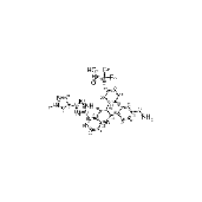 Cn1cc(-c2n[nH]c(-c3nccc4nc(-c5ccc(CN)cc5)c(-c5ccccc5)cc34)n2)cn1.O=C(O)C(F)(F)F